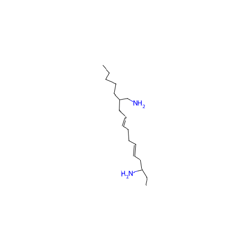 CCCCCC(CN)CC=CCCC=CCC(N)CC